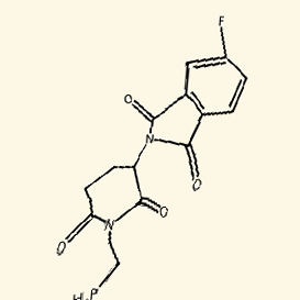 O=C1CCC(N2C(=O)c3ccc(F)cc3C2=O)C(=O)N1CP